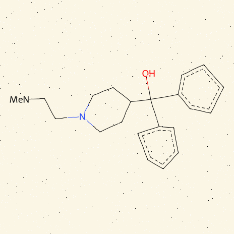 CNCCN1CCC(C(O)(c2ccccc2)c2ccccc2)CC1